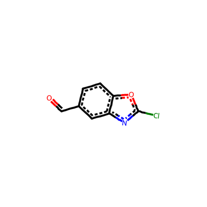 O=Cc1ccc2oc(Cl)nc2c1